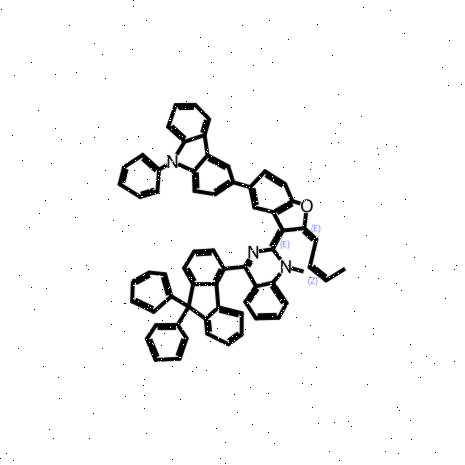 C\C=C/C=c1/oc2ccc(-c3ccc4c(c3)c3ccccc3n4-c3ccccc3)cc2/c1=C1\N=C(c2cccc3c2-c2ccccc2C3(c2ccccc2)c2ccccc2)c2ccccc2N1C